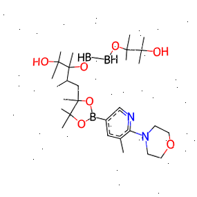 Cc1cc(B2OC(C)(C)C(C)(CC(C)C(C)(OBBOC(C)(C)C(C)(C)O)C(C)(C)O)O2)cnc1N1CCOCC1